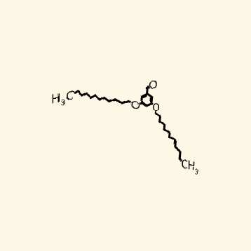 CCCCCCCCCCCCOc1cc(C=O)cc(OCCCCCCCCCCCC)c1